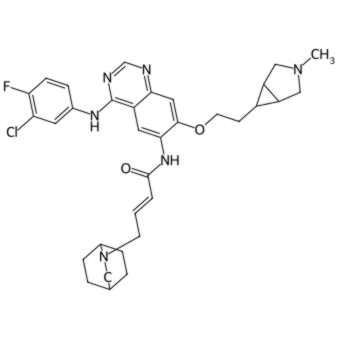 CN1CC2C(CCOc3cc4ncnc(Nc5ccc(F)c(Cl)c5)c4cc3NC(=O)/C=C/CN3CC4CCC3CC4)C2C1